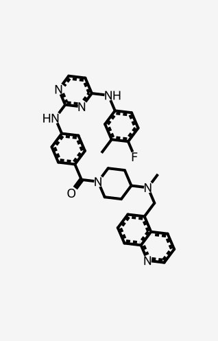 Cc1cc(Nc2ccnc(Nc3ccc(C(=O)N4CCC(N(C)Cc5cccc6ncccc56)CC4)cc3)n2)ccc1F